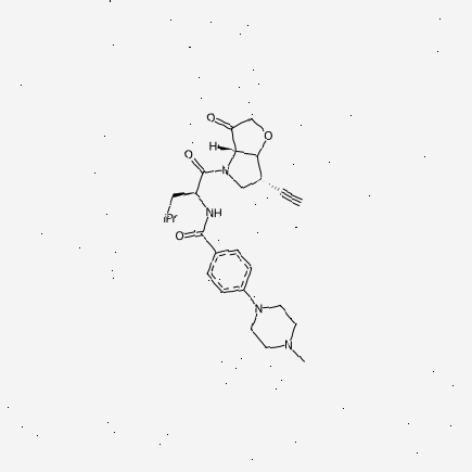 C#C[C@@H]1CN(C(=O)[C@H](CC(C)C)NC(=O)c2ccc(N3CCN(C)CC3)cc2)[C@@H]2C(=O)COC12